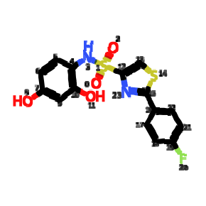 O=S(=O)(Nc1ccc(O)cc1O)c1csc(-c2ccc(F)cc2)n1